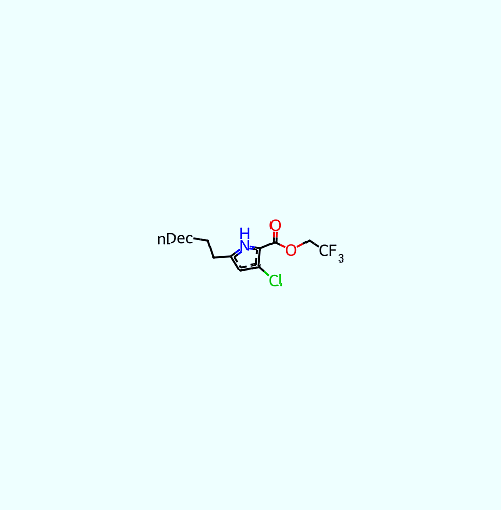 CCCCCCCCCCCCc1cc(Cl)c(C(=O)OCC(F)(F)F)[nH]1